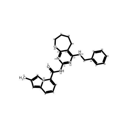 Cc1cc2cccc(C(=O)Nc3nc(NCc4ccccc4)c4c(n3)OCCCC4)n2c1